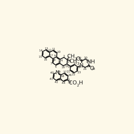 CC1(C)Cc2c(ccc3c2ccc2ccccc23)CC1c1cccc(N2CC(=O)NCC2=O)c1.O=C(O)c1ccc2ncccc2c1